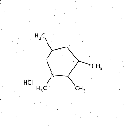 CC1CC(C)C(C)N(C)C1.Cl